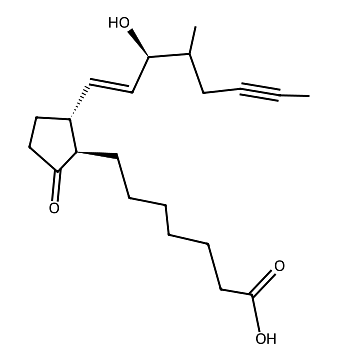 CC#CCC(C)[C@H](O)C=C[C@H]1CCC(=O)[C@@H]1CCCCCCC(=O)O